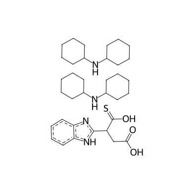 C1CCC(NC2CCCCC2)CC1.C1CCC(NC2CCCCC2)CC1.O=C(O)CC(C(O)=S)c1nc2ccccc2[nH]1